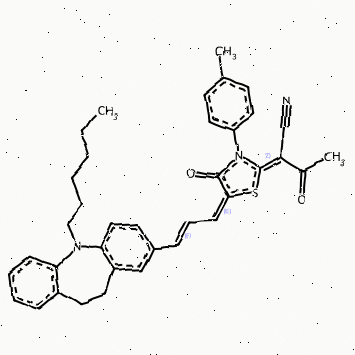 CCCCCCN1c2ccccc2CCc2cc(/C=C/C=c3/s/c(=C(/C#N)C(C)=O)n(-c4ccc(C)cc4)c3=O)ccc21